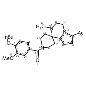 CCCCOc1ccc(C(=O)N2CCC3(CC2)c2ccc(C(C)=O)n2CCN3C)cc1OC